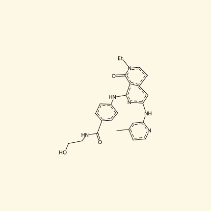 CCn1ccc2cc(Nc3cc(C)ccn3)nc(Nc3ccc(C(=O)NCCO)cc3)c2c1=O